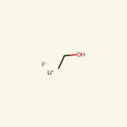 CCO.[F-].[Li+]